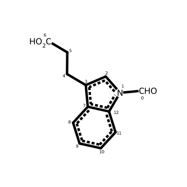 O=Cn1cc(CCC(=O)O)c2ccccc21